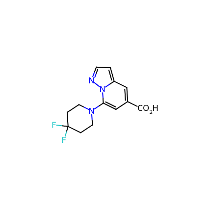 O=C(O)c1cc(N2CCC(F)(F)CC2)n2nccc2c1